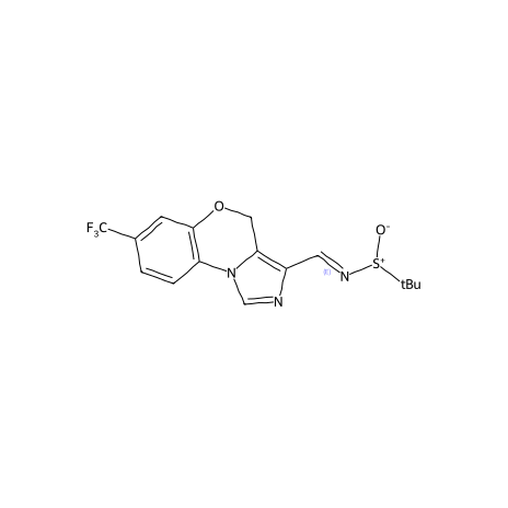 CC(C)(C)[S+]([O-])/N=C/c1ncn2c1COc1cc(C(F)(F)F)ccc1-2